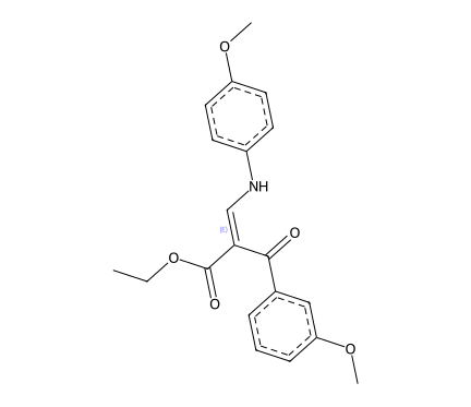 CCOC(=O)/C(=C/Nc1ccc(OC)cc1)C(=O)c1cccc(OC)c1